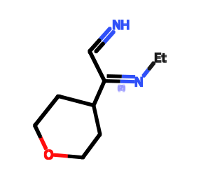 CC/N=C(\C=N)C1CCOCC1